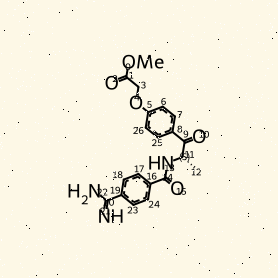 COC(=O)COc1ccc(C(=O)[C@H](C)NC(=O)c2ccc(C(=N)N)cc2)cc1